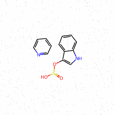 O=S(O)Oc1c[nH]c2ccccc12.c1ccncc1